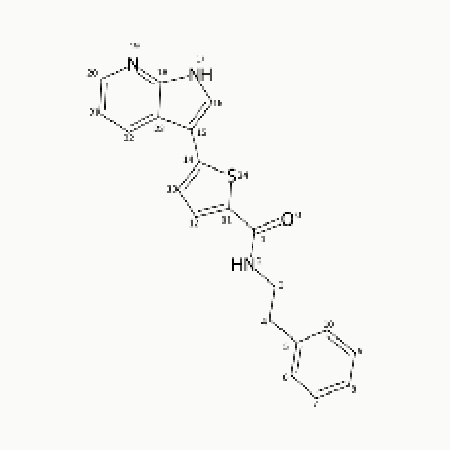 O=C(NCCc1ccccc1)c1ccc(-c2c[nH]c3ncccc23)s1